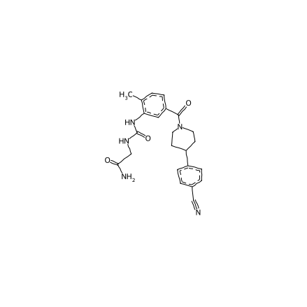 Cc1ccc(C(=O)N2CCC(c3ccc(C#N)cc3)CC2)cc1NC(=O)NCC(N)=O